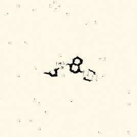 O=S(=O)(Nc1ccc(N2CCNCC2)c2ccccc12)c1ccc(Cl)s1